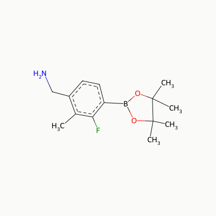 Cc1c(CN)ccc(B2OC(C)(C)C(C)(C)O2)c1F